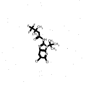 CC(C)(C)n1c(NC(=O)CC(C)(C)C(F)(F)F)nc2cc(Cl)c(Cl)nc21